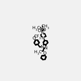 CC(Oc1ccccc1)c1nc2ccc(N3CCN(S(=O)(=O)N(C)C)CC3)cc2n1Cc1ccc(OC(F)(F)F)cc1